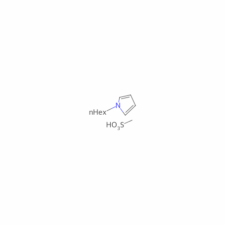 CCCCCCn1cccc1.CS(=O)(=O)O